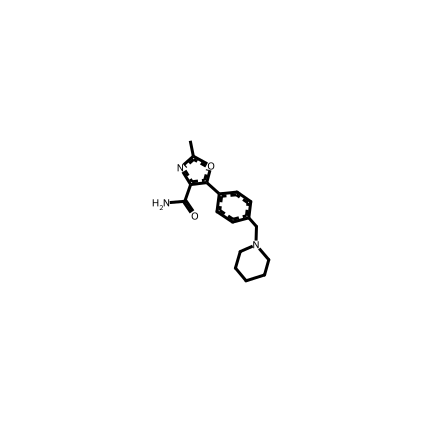 Cc1nc(C(N)=O)c(-c2ccc(CN3CCCCC3)cc2)o1